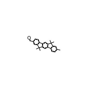 Cc1ccc2c(c1)C(C)(C)c1cc3c(cc1-2)C(C)(C)c1cc(C=O)ccc1-3